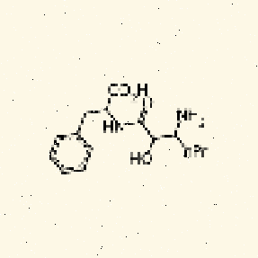 CCCC(N)C(O)C(=O)NC(Cc1ccccc1)C(=O)O